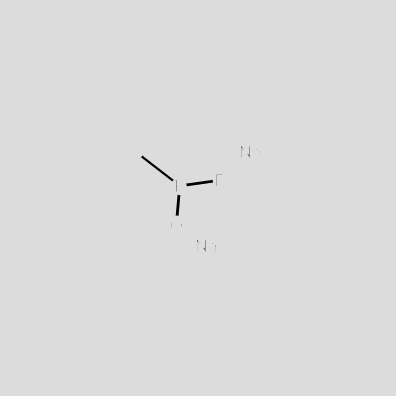 [Na+].[Na+].[O-]P([O-])F